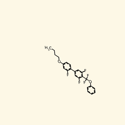 CCCCOc1ccc(-c2cc(F)c(C(F)(F)Oc3ccccc3)c(F)c2)c(F)c1